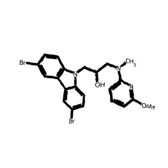 COc1cccc(N(C)CC(O)Cn2c3ccc(Br)cc3c3cc(Br)ccc32)n1